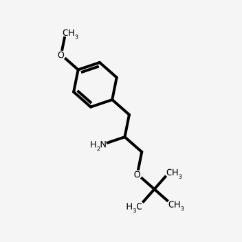 COC1=CCC(CC(N)COC(C)(C)C)C=C1